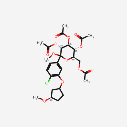 CO[C@@H]1CCC(Oc2cc(C3(OC)O[C@H](COC(C)=O)[C@@H](OC(C)=O)[C@H](OC(C)=O)[C@H]3OC(C)=O)ccc2Cl)C1